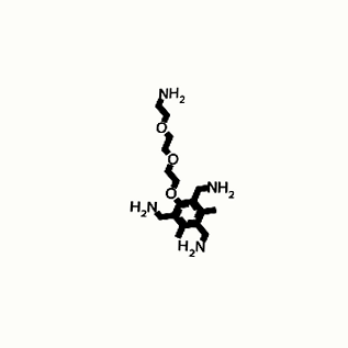 Cc1c(CN)c(C)c(CN)c(OCCOCCOCCN)c1CN